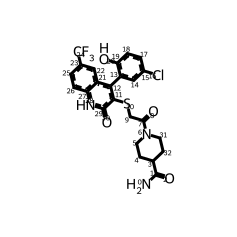 NC(=O)C1CCN(C(=O)CSc2c(-c3cc(Cl)ccc3O)c3cc(C(F)(F)F)ccc3[nH]c2=O)CC1